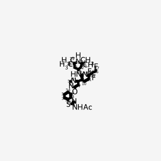 CC(=O)Nc1nc2c(Oc3cc(-c4ccc(C(F)(F)CF)nc4NC4CC(C)(C)NC(C)(C)C4)ncn3)cccc2s1